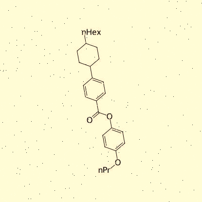 CCCCCCC1CCC(c2ccc(C(=O)Oc3ccc(OCCC)cc3)cc2)CC1